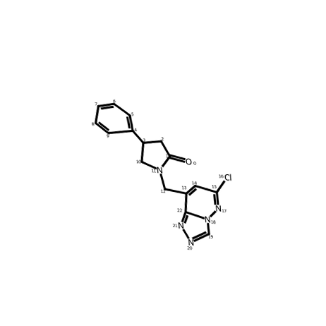 O=C1CC(c2ccccc2)CN1Cc1cc(Cl)nn2cnnc12